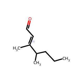 CCCC(C)/C(C)=C/C=O